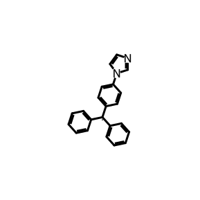 c1ccc([C](c2ccccc2)c2ccc(-n3ccnc3)cc2)cc1